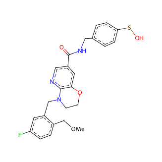 COCc1ccc(F)cc1CN1CCOc2cc(C(=O)NCc3ccc(SO)cc3)cnc21